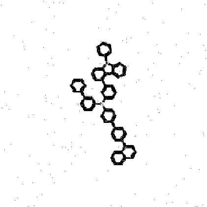 c1ccc(-c2cccc(N(c3ccc(-c4ccc(-c5cccc6ccccc56)cc4)cc3)c3cccc(-c4cccc5c4c4ccccc4n5-c4ccccc4)c3)c2)cc1